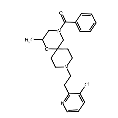 CC1CN(C(=O)c2ccccc2)CC2(CCN(CCc3ncccc3Cl)CC2)O1